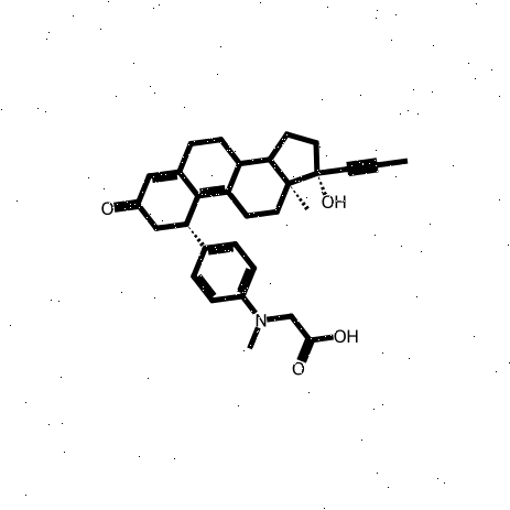 CC#C[C@]1(O)CCC2C3CCC4=CC(=O)C[C@@H](c5ccc(N(C)CC(=O)O)cc5)C4=C3CC[C@@]21C